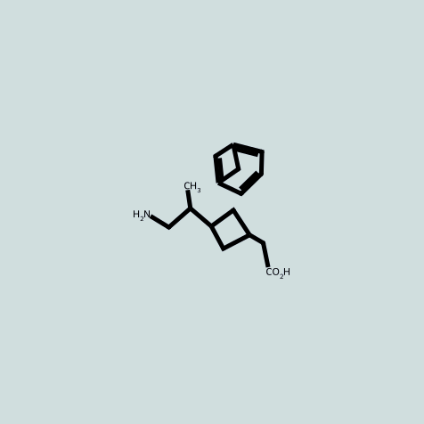 CC(CN)C1CC(CC(=O)O)C1.c1cc2cc(c1)C2